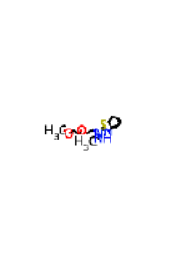 CNN(CCOCCOC)c1nc2ccccc2s1